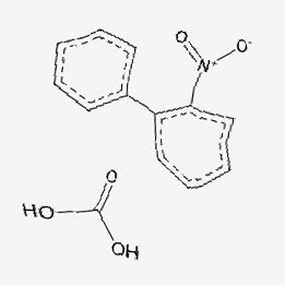 O=C(O)O.O=[N+]([O-])c1ccccc1-c1ccccc1